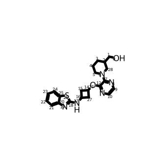 OCC1CCCN(c2nccnc2OC2CC(Nc3nc4ccccc4s3)C2)C1